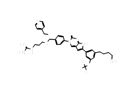 C[C@H](N)CCCc1cc(SC(F)(F)F)cc(-c2cc3cn(-c4ccc([C@@H](CCc5ccncc5)NCCCNC(=N)N)cc4)c(=O)nc3[nH]2)c1